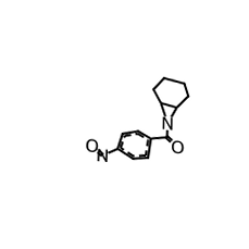 O=Nc1ccc(C(=O)N2C3CCCCC32)cc1